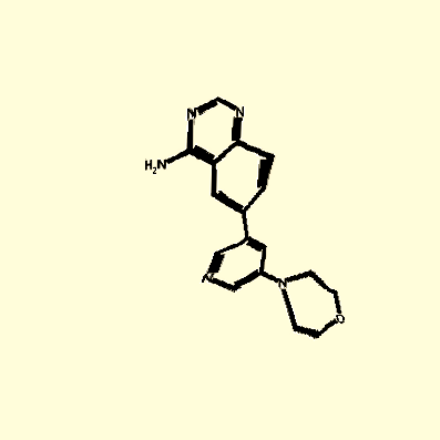 Nc1ncnc2ccc(-c3cncc(N4CCOCC4)c3)cc12